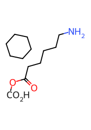 C1CCCCC1.NCCCCCC(=O)OC(=O)O